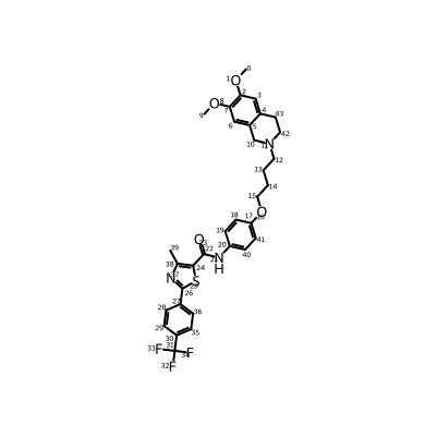 COc1cc2c(cc1OC)CN(CCCCOc1ccc(NC(=O)c3sc(-c4ccc(C(F)(F)F)cc4)nc3C)cc1)CC2